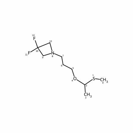 CSC(C)OCCCN1CC(F)(F)C1